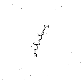 N#CCSC(=S)SCCC(=O)OCCO